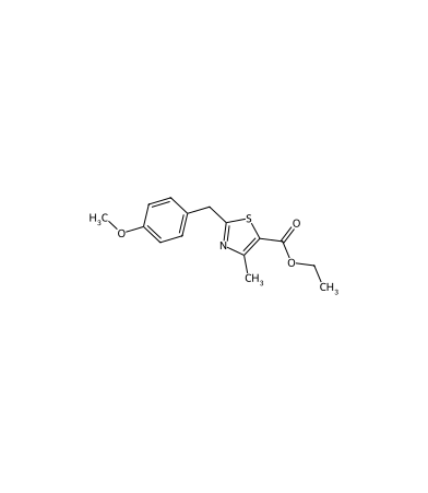 CCOC(=O)c1sc(Cc2ccc(OC)cc2)nc1C